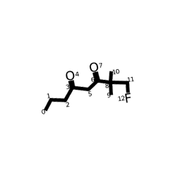 CCCC(=O)CC(=O)C(C)(C)CF